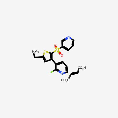 CNCc1cc(-c2cccnc2F)c(S(=O)(=O)c2cccnc2)s1.O=C(O)/C=C/C(=O)O